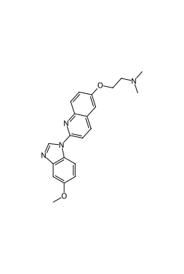 COc1ccc2c(c1)ncn2-c1ccc2cc(OCCN(C)C)ccc2n1